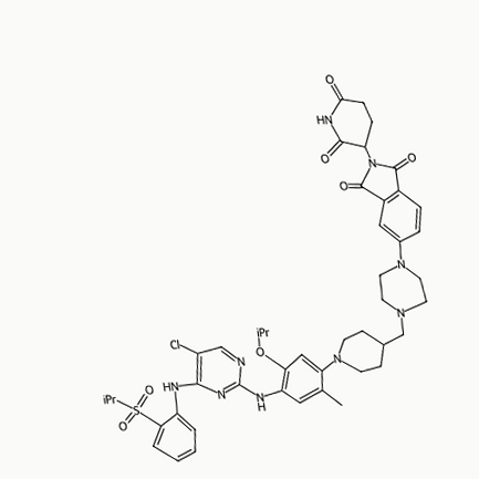 Cc1cc(Nc2ncc(Cl)c(Nc3ccccc3S(=O)(=O)C(C)C)n2)c(OC(C)C)cc1N1CCC(CN2CCN(c3ccc4c(c3)C(=O)N(C3CCC(=O)NC3=O)C4=O)CC2)CC1